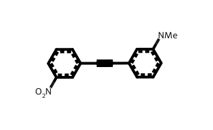 CNc1cccc(C#Cc2cccc([N+](=O)[O-])c2)c1